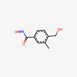 Cc1cc(C(=O)N=O)ccc1CO